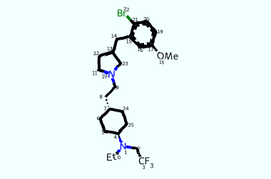 CCN(CC(F)(F)F)[C@H]1CC[C@H](CCN2CCC(Cc3cc(OC)ccc3Br)C2)CC1